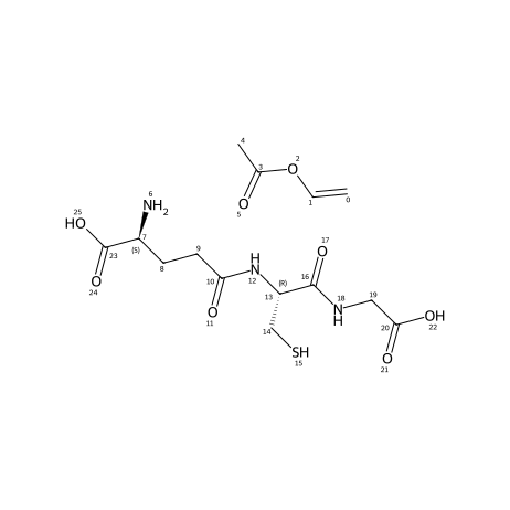 C=COC(C)=O.N[C@@H](CCC(=O)N[C@@H](CS)C(=O)NCC(=O)O)C(=O)O